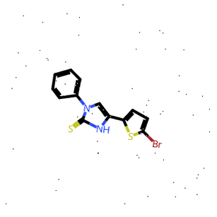 S=c1[nH]c(-c2ccc(Br)s2)cn1-c1ccccc1